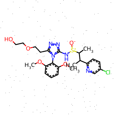 COc1cccc(OC)c1-n1c(CCOCCO)nnc1N[S+]([O-])C(C)C(C)c1ccc(Cl)cn1